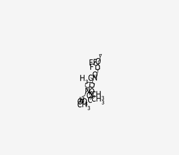 COC(=O)CCCN(C(=O)OC(C)(C)C)C1CCCc2c(/C(C)=N/OCc3ccc(OCC4CC4)c(C(F)(F)F)c3)cccc21